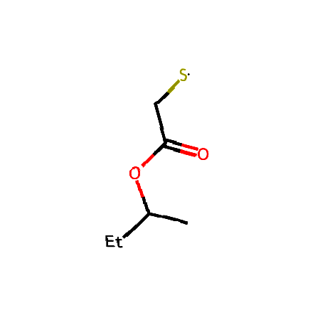 CCC(C)OC(=O)C[S]